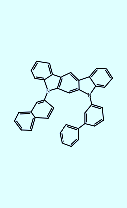 c1ccc(-c2cccc(-n3c4ccccc4c4cc5c6ccccc6n(-c6ccc7ccccc7c6)c5cc43)c2)cc1